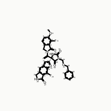 C=C(N1Cc2ccc(OC)c(F)c2C1=O)[C@@]1(c2cc3cc4c(c(F)c3o2)C(=O)NC4)NC(=O)N(COCc2ccccc2)C1=O